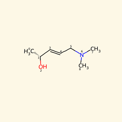 C[C@@H](O)/C=C/CN(C)C